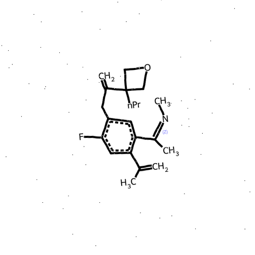 C=C(C)c1cc(F)c(CC(=C)C2(CCC)COC2)cc1/C(C)=N\C